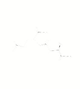 C=C(O)CC[C@@H](NC(=O)C[C@@H](N)C(=O)O)C(=O)O